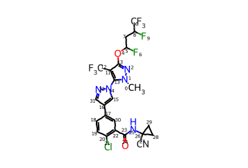 Cn1nc(OC(F)CC(F)C(F)(F)F)c(C(F)(F)F)c1-n1cc(-c2ccc(Cl)c(C(=O)NC3(C#N)CC3)c2)cn1